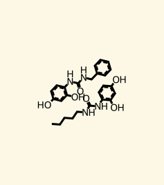 CCCCCNC(=O)Nc1ccc(O)cc1O.O=C(NCc1ccccc1)Nc1ccc(O)cc1O